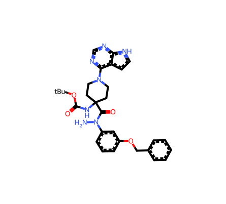 CC(C)(C)OC(=O)NC1(C(=O)N(N)c2cccc(OCc3ccccc3)c2)CCN(c2ncnc3[nH]ccc23)CC1